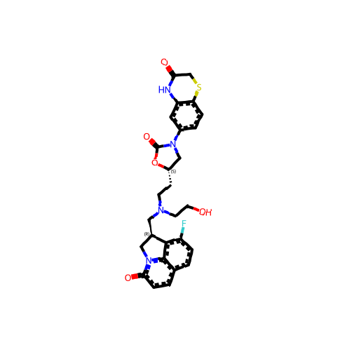 O=C1CSc2ccc(N3C[C@H](CCN(CCO)C[C@@H]4Cn5c(=O)ccc6ccc(F)c4c65)OC3=O)cc2N1